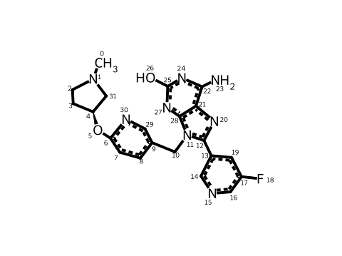 CN1CC[C@H](Oc2ccc(Cn3c(-c4cncc(F)c4)nc4c(N)nc(O)nc43)cn2)C1